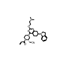 C=CC(=O)N1CCN(c2nc(OCCN(C)C)nc3c2CCC(N2CCc4ccccc42)C3)C[C@@H]1CC#N